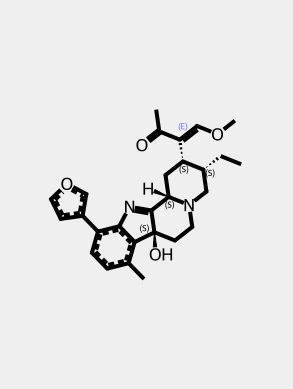 CC[C@@H]1CN2CC[C@@]3(O)C(=Nc4c(-c5ccoc5)ccc(C)c43)[C@@H]2C[C@@H]1/C(=C\OC)C(C)=O